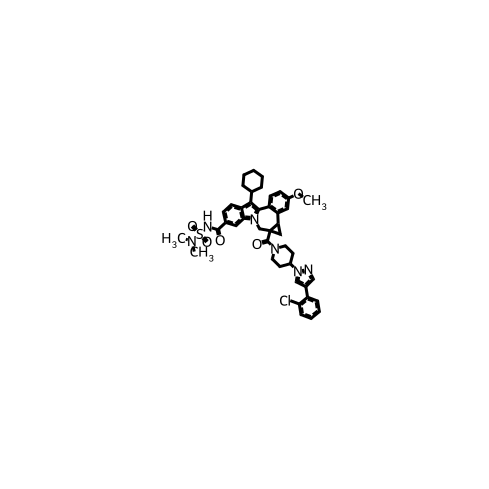 COc1ccc2c(c1)C1CC1(C(=O)N1CCC(n3cc(-c4ccccc4Cl)cn3)CC1)Cn1c-2c(C2CCCCC2)c2ccc(C(=O)NS(=O)(=O)N(C)C)cc21